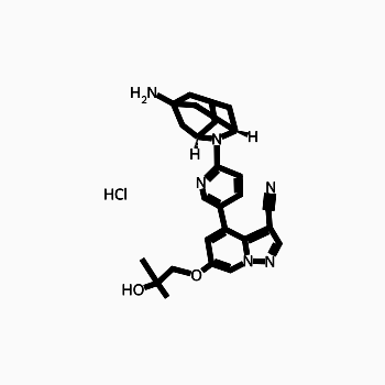 CC(C)(O)COc1cc(-c2ccc(N3[C@@H]4CC5C[C@H]3CC(N)(C5)C4)nc2)c2c(C#N)cnn2c1.Cl